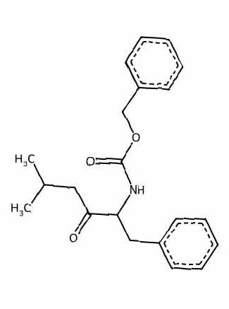 CC(C)CC(=O)C(Cc1ccccc1)NC(=O)OCc1ccccc1